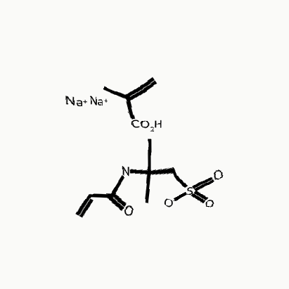 C=C(C)C(=O)O.C=CC(=O)[N-]C(C)(C)CS(=O)(=O)[O-].[Na+].[Na+]